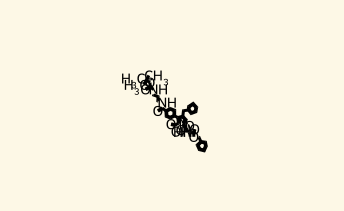 CC(C)(C)OC(=O)NCCCNC(=O)c1ccc(-c2c(Cc3ccccc3)cn(S(=O)(=O)NC(=O)OCc3ccccc3)c2C(=O)O)cc1